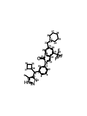 Cc1[nH]nnc1C(c1cccc(-n2cc3c(C(F)(F)F)cc(CN4CCCCC4)cn3c2=O)c1)C1CCC1